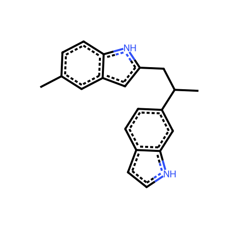 Cc1ccc2[nH]c(CC(C)c3ccc4cc[nH]c4c3)cc2c1